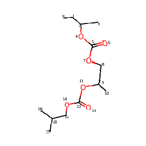 CCC(C)OC(=O)OCC(C)OC(=O)OCC(C)C